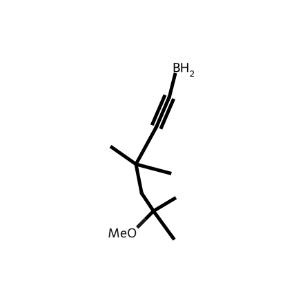 BC#CC(C)(C)CC(C)(C)OC